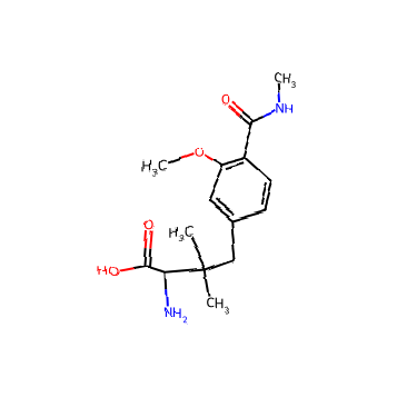 CNC(=O)c1ccc(CC(C)(C)C(N)C(=O)O)cc1OC